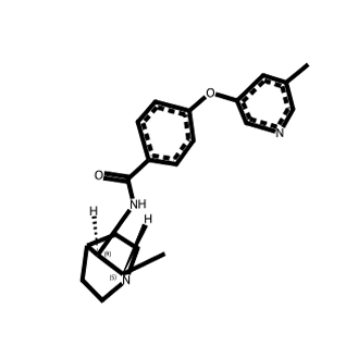 Cc1cncc(Oc2ccc(C(=O)N[C@@H]3C4CCN(CC4)[C@H]3C)cc2)c1